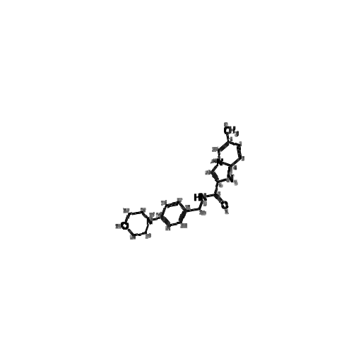 Cc1ccc2nc(C(=O)NCc3ccc(N4CCOCC4)cc3)cn2c1